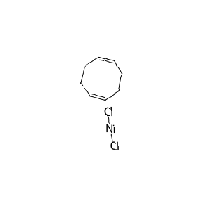 C1=CCCC=CCC1.[Cl][Ni][Cl]